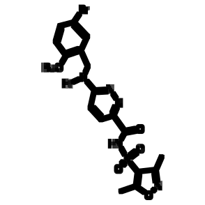 CCN(Cc1cc(Br)ccc1OCC(C)C)c1ccc(C(=O)NS(=O)(=O)c2c(C)noc2C)nn1